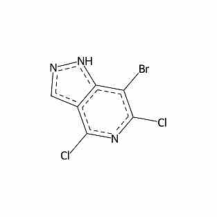 Clc1nc(Cl)c2cn[nH]c2c1Br